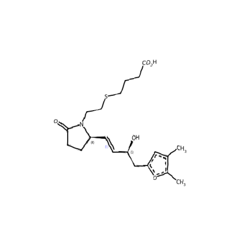 Cc1cc(C[C@H](O)/C=C/[C@H]2CCC(=O)N2CCSCCCC(=O)O)oc1C